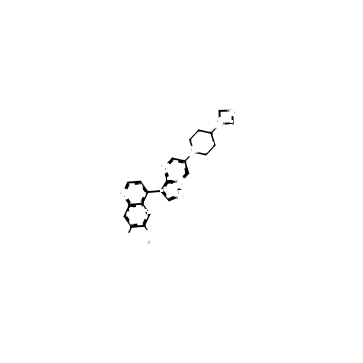 COc1cc2c(-c3cnn4cc(N5CCC(N6CNC6)CC5)cnc34)ccnc2cc1F